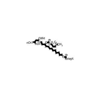 CCCCCCCCC(CCCCCCCC)CC(OC)OCCC(CCCCCCCCCCOC(=O)CCCCCCC)OC(=O)OCCCN(C)C